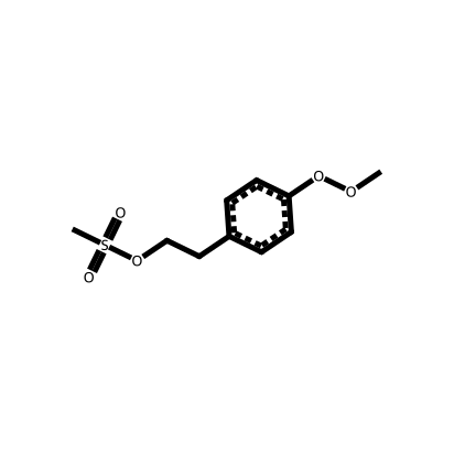 COOc1ccc(CCOS(C)(=O)=O)cc1